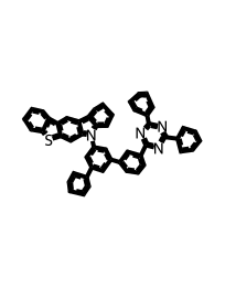 c1ccc(-c2cc(-c3cccc(-c4nc(-c5ccccc5)nc(-c5ccccc5)n4)c3)cc(-n3c4ccccc4c4cc5c(cc43)sc3ccccc35)c2)cc1